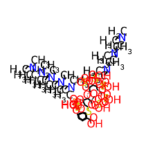 CCN(CC)CC.CCN(CC)CC.CCN(CC)CC.CCN(CC)CC.CCN(CC)CC.CCN(CC)CC.CCN(CC)CC.CCN(CC)CC.O=C(O)c1ccccc1S[C@@H]1O[C@H](COS(=O)(=O)O)[C@@H](O[C@H]2O[C@H](COS(=O)(=O)O)[C@@H](OS(=O)(=O)O)[C@H](OS(=O)(=O)O)[C@H]2OS(=O)(=O)O)[C@H](OS(=O)(=O)O)[C@H]1OS(=O)(=O)O